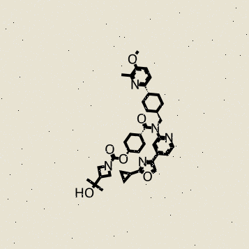 COc1ccc([C@H]2CC[C@H](CN(c3cc(-c4coc(C5CC5)n4)ccn3)C(=O)[C@H]3CC[C@H](OC(=O)N4CC(C(C)(C)O)C4)CC3)CC2)nc1C